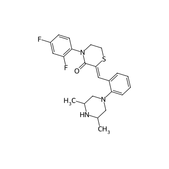 CC1CN(c2ccccc2C=C2SCCN(c3ccc(F)cc3F)C2=O)CC(C)N1